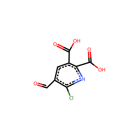 O=Cc1cc(C(=O)O)c(C(=O)O)nc1Cl